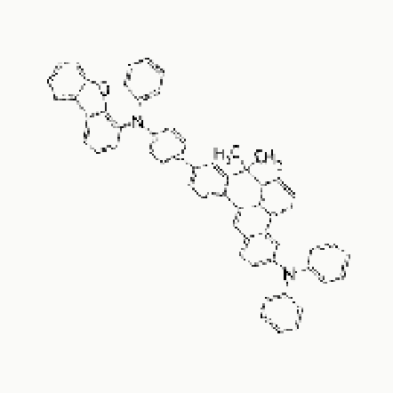 CC1(C)c2cc(-c3ccc(N(c4ccccc4)c4cccc5c4oc4ccccc45)cc3)ccc2-c2cc3ccc(N(c4ccccc4)c4ccccc4)cc3c3cccc1c23